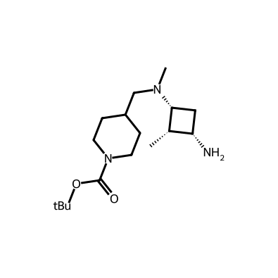 C[C@@H]1[C@H](N(C)CC2CCN(C(=O)OC(C)(C)C)CC2)C[C@@H]1N